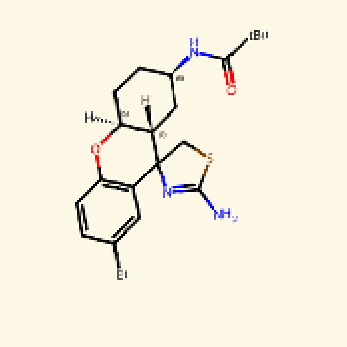 CCc1ccc2c(c1)C1(CSC(N)=N1)[C@H]1C[C@H](NC(=O)C(C)(C)C)CC[C@@H]1O2